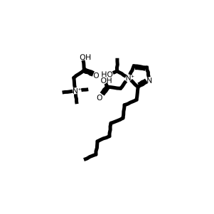 CCCCCCCCC1=NC=C[N+]1(CC(=O)O)C(C)O.C[N+](C)(C)CC(=O)O